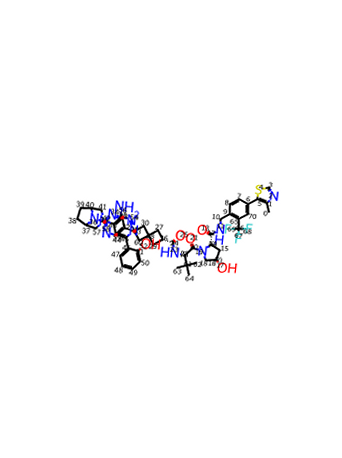 Cc1ncsc1-c1ccc(CNC(=O)[C@@H]2C[C@@H](O)CN2C(=O)[C@@H](NC(=O)[C@H]2CC3(C2)C[C@H](c2cnc(N4C5CCC4CN(c4cc(-c6ccccc6O)nnc4N)C5)nc2)C3)C(C)(C)C)c(C(F)(F)F)c1